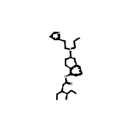 CCCN(CCc1cccs1)C1CCc2c(cccc2OC(=O)CC(CC)C(C)CC)C1